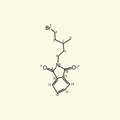 CC(CCBr)CCN1C(=O)c2ccccc2C1=O